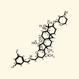 CC(=O)N1CCO[C@@H](OC2CCC34CC35CCC3(C)[C@@H]6C(OC(CNCc7cc(F)cc(F)c7)C[C@H]6C)[C@H](O)[C@@]3(C)C5CC[C@H]4C2(C)C)C1